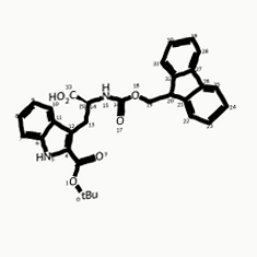 CC(C)(C)OC(=O)c1[nH]c2ccccc2c1C[C@H](NC(=O)OCC1c2ccccc2-c2ccccc21)C(=O)O